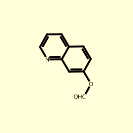 O=[C]Oc1ccc2cccnc2c1